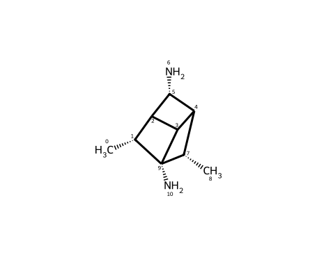 C[C@@H]1C2C3C([C@H]2N)[C@H](C)[C@]31N